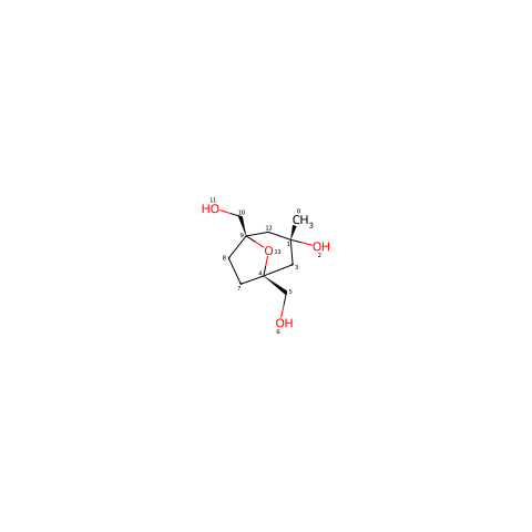 C[C@@]1(O)C[C@]2(CO)CC[C@](CO)(C1)O2